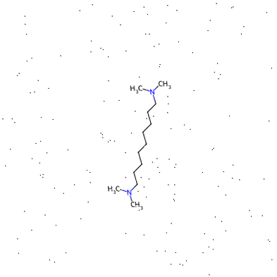 CN(C)CCCCCCCCCN(C)C